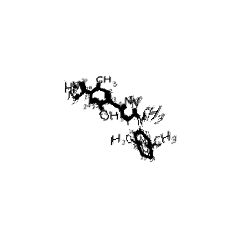 Cc1cc(-c2ccc(N(C)[C@@H]3C[C@]4(C)CC[C@](C)(C3)N4)nn2)c(O)cc1-c1cn[nH]c1